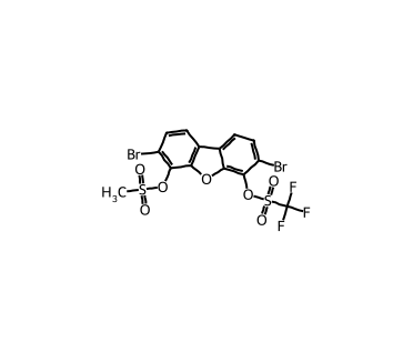 CS(=O)(=O)Oc1c(Br)ccc2c1oc1c(OS(=O)(=O)C(F)(F)F)c(Br)ccc12